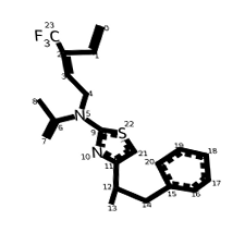 C=C/C(=C\CN(C(=C)C)c1nc(C(C)Cc2ccccc2)cs1)C(F)(F)F